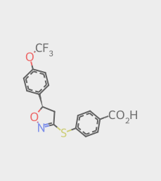 O=C(O)c1ccc(SC2=NO[C@@H](c3ccc(OC(F)(F)F)cc3)C2)cc1